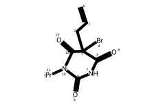 C=CCC1(Br)C(=O)NC(=O)N(C(C)C)C1=O